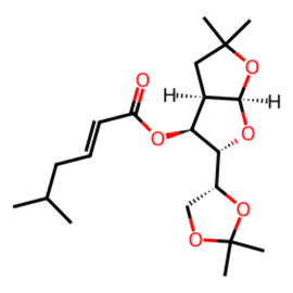 CC(C)C/C=C/C(=O)O[C@H]1[C@H]2CC(C)(C)O[C@H]2O[C@@H]1[C@H]1COC(C)(C)O1